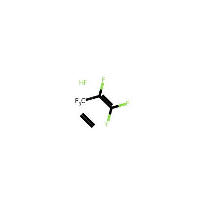 C=C.F.FC(F)=C(F)C(F)(F)F